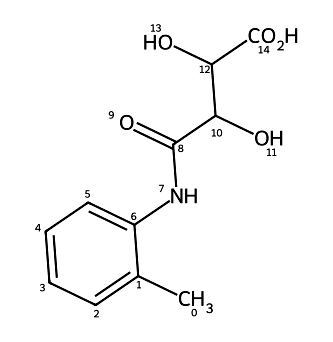 Cc1ccccc1NC(=O)C(O)C(O)C(=O)O